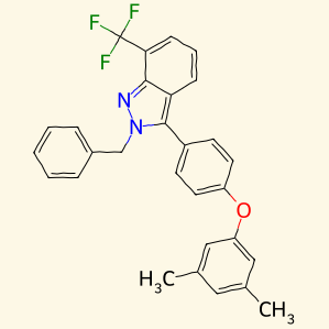 Cc1cc(C)cc(Oc2ccc(-c3c4cccc(C(F)(F)F)c4nn3Cc3ccccc3)cc2)c1